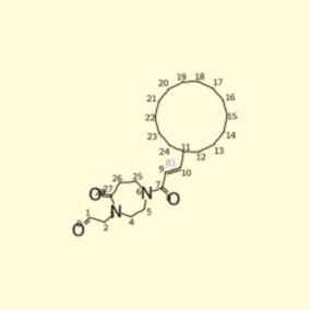 O=CCN1CCN(C(=O)/C=C/C2CCCCCCCCCCCCC2)CCC1=O